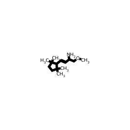 COCC(N)C=CC1C(C)(C)CCC1(C)C